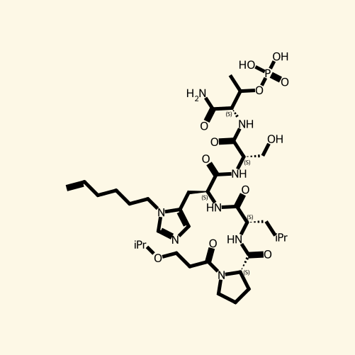 C=CCCCCn1cncc1C[C@H](NC(=O)[C@H](CC(C)C)NC(=O)[C@@H]1CCCN1C(=O)CCOC(C)C)C(=O)N[C@@H](CO)C(=O)N[C@H](C(N)=O)C(C)OP(=O)(O)O